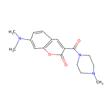 CN1CCN(C(=O)c2cc3ccc(N(C)C)cc3oc2=O)CC1